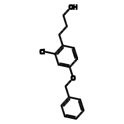 OCCCc1ccc(OCc2ccccc2)cc1Cl